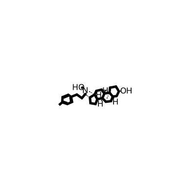 Cc1ccc(CCC(=NO)[C@H]2CC[C@H]3[C@@H]4CC[C@H]5C[C@@H](O)CC[C@]5(C)[C@H]4CC[C@]23C)cc1